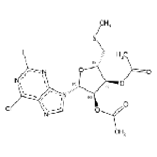 CSC[C@H]1O[C@@H](n2cnc3c(Cl)nc(I)nc32)[C@H](OC(C)=O)[C@@H]1OC(C)=O